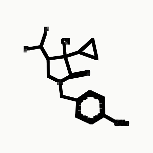 COc1ccc(CN2CC(C(F)F)C(C#N)(C3CC3)C2=O)cc1